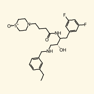 CCc1cccc(CNC[C@@H](O)C(Cc2cc(F)cc(F)c2)NC(=O)CCCN2CC[S+]([O-])CC2)c1